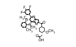 COc1cccc(C)c1N(C)c1cc(-c2cc(F)c(F)c(F)c2)nc2cc(C(=O)C3CC[C@@H](CC(=O)O)[C@@H](OC)C3)nn12